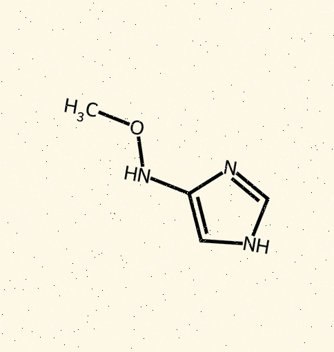 CONc1c[nH]cn1